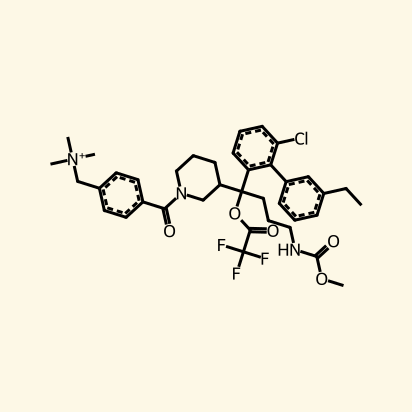 CCc1cccc(-c2c(Cl)cccc2C(CCCNC(=O)OC)(OC(=O)C(F)(F)F)C2CCCN(C(=O)c3ccc(C[N+](C)(C)C)cc3)C2)c1